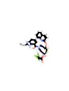 CSc1nc2cccc(C(=O)N3CCC(F)(F)C(Oc4ccc5ccccc5n4)C3)c2[nH]1.O=C(O)C(F)(F)F